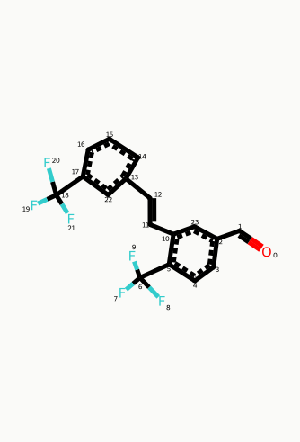 O=Cc1ccc(C(F)(F)F)c(C=Cc2cccc(C(F)(F)F)c2)c1